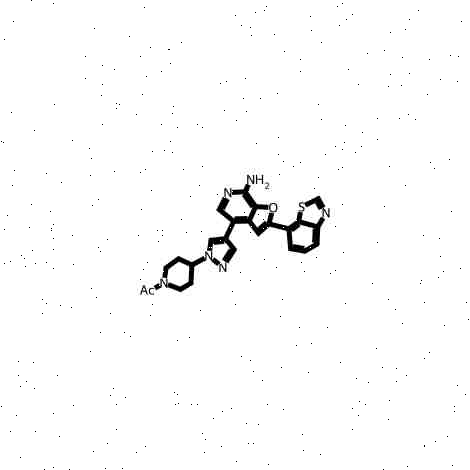 CC(=O)N1CCC(n2cc(-c3cnc(N)c4oc(-c5cccc6ncsc56)cc34)cn2)CC1